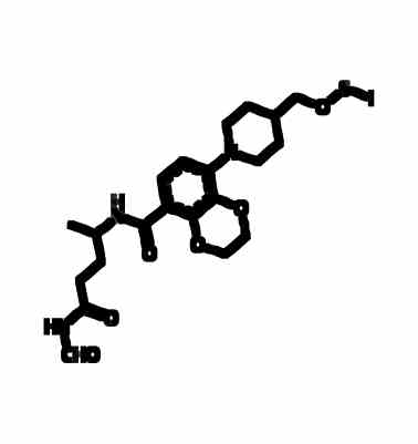 CC(CCC(=O)NC=O)NC(=O)c1ccc(N2CCC(COSI)CC2)c2c1OCCO2